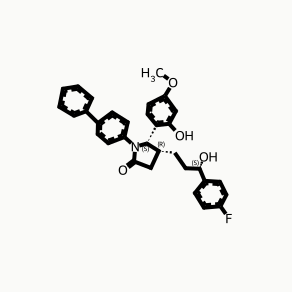 COc1ccc([C@@H]2[C@H](CC[C@H](O)c3ccc(F)cc3)CC(=O)N2c2ccc(-c3ccccc3)cc2)c(O)c1